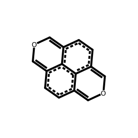 C1=c2ccc3c4c(ccc(c24)=CO1)=COC=3